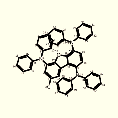 Clc1cc(N(c2ccccc2)c2ccccc2)c2oc3c(N(c4ccccc4)c4ccccc4)ccc(N(c4ccccc4)c4ccccc4)c3c2c1